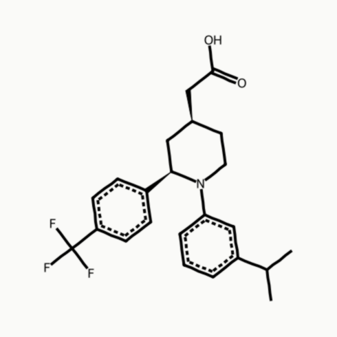 CC(C)c1cccc(N2CC[C@H](CC(=O)O)C[C@@H]2c2ccc(C(F)(F)F)cc2)c1